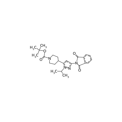 CC(C)n1nc(N2C(=O)c3ccccc3C2=O)cc1C1CCN(C(=O)OC(C)(C)C)CC1